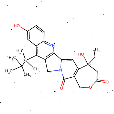 CCC1(O)CC(=O)OCc2c1cc1n(c2=O)Cc2c-1nc1ccc(O)cc1c2[Si](C)(C)C(C)(C)C